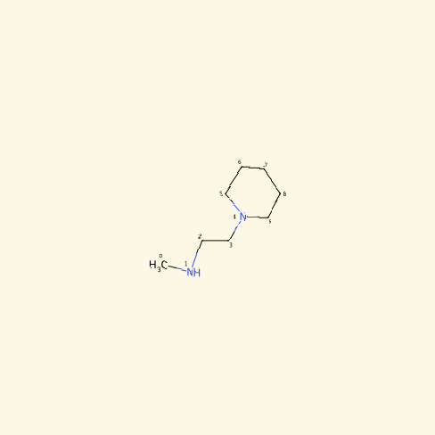 CNCCN1CC[CH]CC1